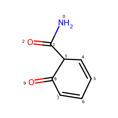 NC(=O)C1C=CC=[C]C1=O